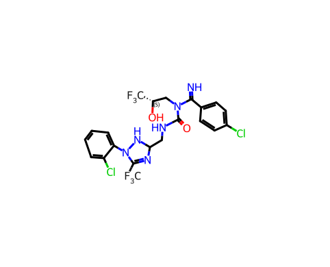 N=C(c1ccc(Cl)cc1)N(C[C@H](O)C(F)(F)F)C(=O)NCC1N=C(C(F)(F)F)N(c2ccccc2Cl)N1